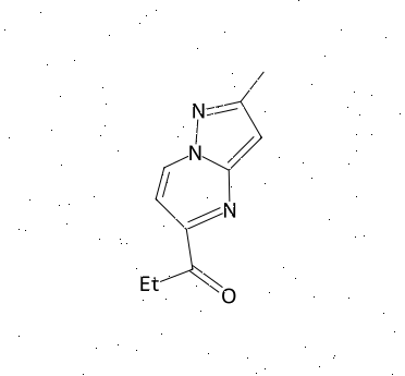 CCC(=O)c1ccn2nc(C)cc2n1